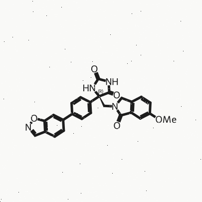 COc1ccc2c(c1)C(=O)N(C[C@@]1(c3ccc(-c4ccc5cnoc5c4)cc3)NC(=O)NC1=O)C2